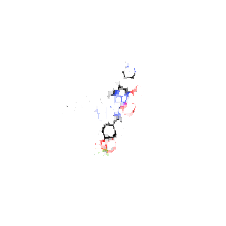 CCOC(=O)[C@@H]1[C@@H](Cc2ccncc2)C(=O)N1C(=O)N[C@H](C)c1ccc2c(c1)OC(F)(F)O2